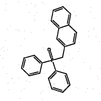 O=P(Cc1ccc2ccccc2c1)(c1ccccc1)c1ccccc1